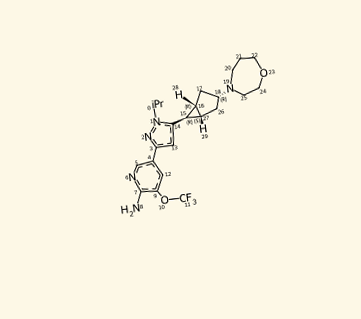 CC(C)n1nc(-c2cnc(N)c(OC(F)(F)F)c2)cc1[C@H]1[C@@H]2C[C@H](N3CCCOCC3)C[C@@H]21